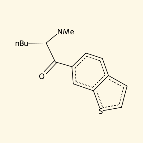 CCCCC(NC)C(=O)c1ccc2ccsc2c1